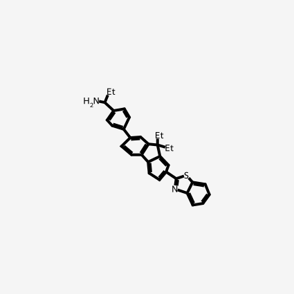 CCC(N)c1ccc(-c2ccc3c(c2)C(CC)(CC)c2cc(-c4nc5ccccc5s4)ccc2-3)cc1